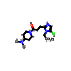 CCOC(=O)Cn1c(Cl)cnc1CCC(=O)N1CCC(N(CC)CC)CC1